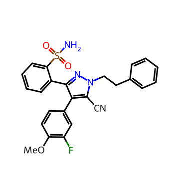 COc1ccc(-c2c(-c3ccccc3S(N)(=O)=O)nn(CCc3ccccc3)c2C#N)cc1F